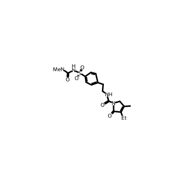 CCC1=C(C)CN(C(=O)NCCc2ccc(S(=O)(=O)NC(=O)NC)cc2)C1=O